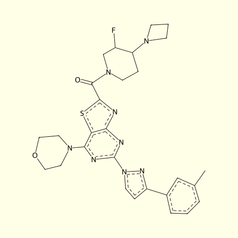 Cc1cccc(-c2ccn(-c3nc(N4CCOCC4)c4sc(C(=O)N5CCC(N6CCC6)C(F)C5)nc4n3)n2)c1